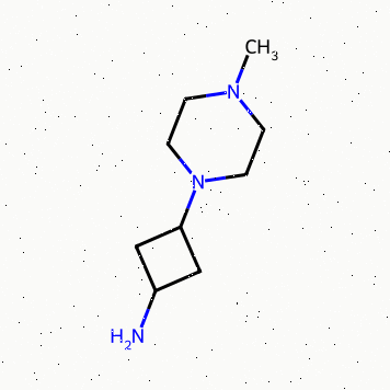 CN1CCN(C2CC(N)C2)CC1